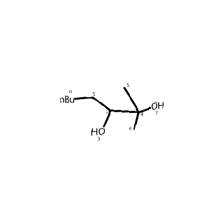 CCCCCC(O)C(C)(C)O